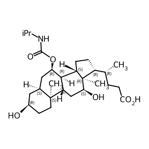 CC(C)NC(=O)O[C@@H]1C[C@@H]2C[C@H](O)CC[C@]2(C)[C@H]2C[C@H](O)[C@]3(C)[C@@H]([C@H](C)CCC(=O)O)CC[C@H]3[C@H]12